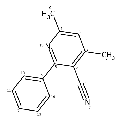 Cc1cc(C)c(C#N)c(-c2ccccc2)n1